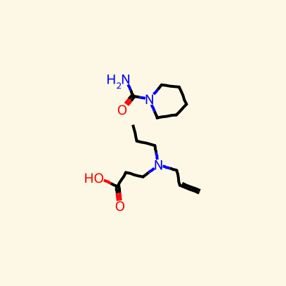 C=CCN(CCC)CCC(=O)O.NC(=O)N1CCCCC1